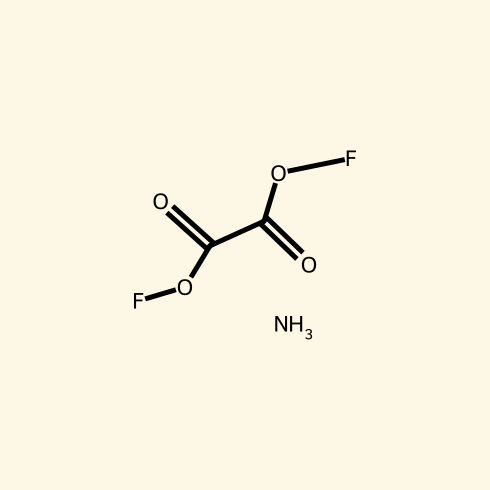 N.O=C(OF)C(=O)OF